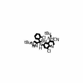 BC(Nc1cc(Cl)c2ncc(C#N)c(NCC(C)(C)C)c2c1)(c1cn(C(C)(C)C)nn1)c1ccccc1Cl